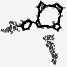 O.O.O.O.O.O.O.O.O.O.O.O.O=S(=O)(O)c1ccc(C2=CC3=CC4=NC(=CC5=NC(=CC6=NC(=CC2=N3)C=C6)C=C5)C=C4)cc1